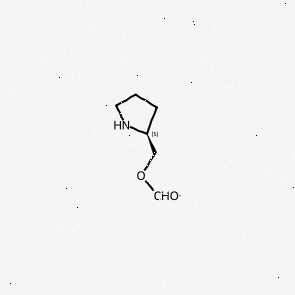 O=[C]OC[C@@H]1CCCN1